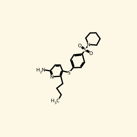 CCCCc1nc(N)ccc1Sc1ccc(S(=O)(=O)N2CCCCC2)cc1